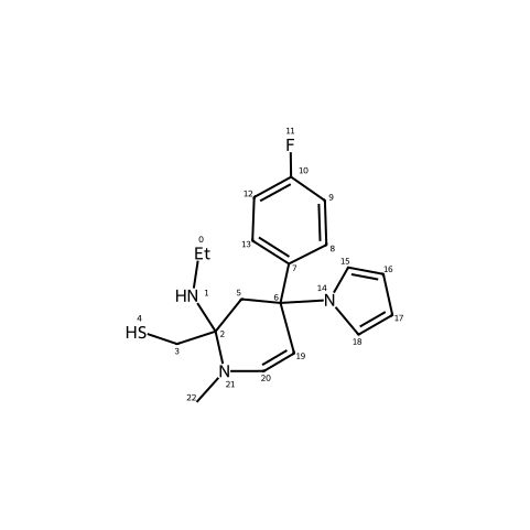 CCNC1(CS)CC(c2ccc(F)cc2)(n2cccc2)C=CN1C